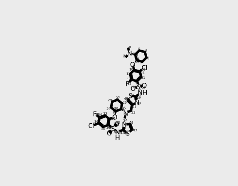 CN(C)[C@H]1CCCC[C@@H]1Oc1cc(F)c(S(=O)(=O)Nc2nc(CN(C)[C@H]3CCCC[C@@H]3Oc3cc(F)c(Cl)cc3S(=O)(=O)Nc3nccs3)cs2)cc1Cl